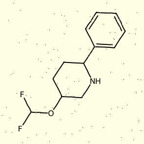 FC(F)OC1CCC(c2ccccc2)NC1